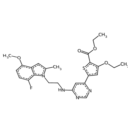 CCOC(=O)c1sc(-c2cc(NCCn3c(C)cc4c(OC)ccc(F)c43)ncn2)cc1OCC